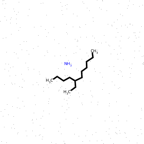 CCCCCC[C](CC)CCCC.N